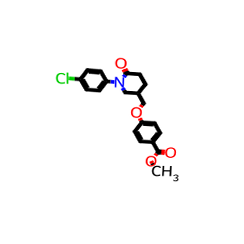 COC(=O)c1ccc(OCC2CCC(=O)N(c3ccc(Cl)cc3)C2)cc1